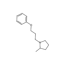 CC1CCCN1CCCOc1cc[c]cc1